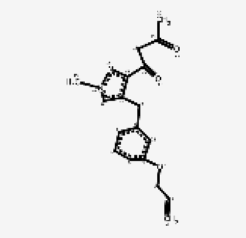 C=CCOc1cccc(Cc2cn(C)nc2C(=O)CC(C)=O)c1